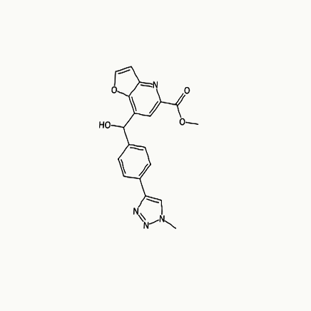 COC(=O)c1cc(C(O)c2ccc(-c3cn(C)nn3)cc2)c2occc2n1